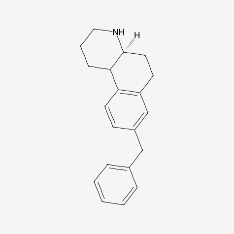 c1ccc(Cc2ccc3c(c2)CC[C@@H]2NCCCC32)cc1